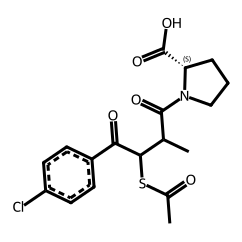 CC(=O)SC(C(=O)c1ccc(Cl)cc1)C(C)C(=O)N1CCC[C@H]1C(=O)O